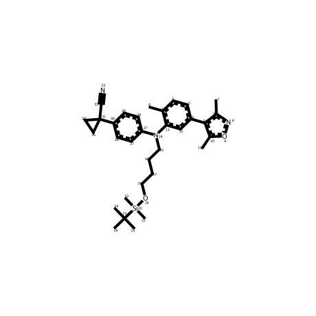 Cc1ccc(-c2c(C)noc2C)cc1N(CCCCO[Si](C)(C)C(C)(C)C)c1ccc(C2(C#N)CC2)cc1